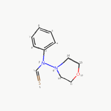 S=CN(c1ccccc1)N1CCOCC1